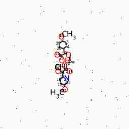 COc1ccc([C@H](OC2CC2OC(=O)[C@@H](OC)c2ccc(OC)cn2)C(=O)O)cc1